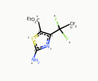 CCOC(=O)c1sc(N)nc1C(F)(F)C(F)(F)F